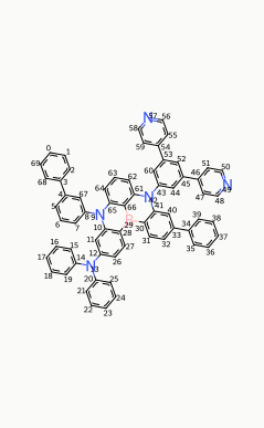 c1ccc(-c2cccc(N3c4cc(N(c5ccccc5)c5ccccc5)ccc4B4c5ccc(-c6ccccc6)cc5N(c5cc(-c6ccncc6)cc(-c6ccncc6)c5)c5cccc3c54)c2)cc1